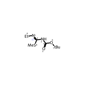 CC/N=C(/NC(=O)OC(C)(C)C)SC